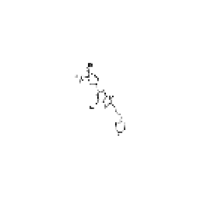 CCOc1ccc(-c2cc3[nH]c(CCCN4CCOCC4)nc3c(C#N)n2)cc1C(F)(F)F